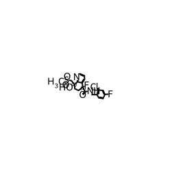 CS(=O)(=O)C[C@]1(O)CC[C@@](F)(C(=O)NCc2ccc(F)cc2Cl)c2cccnc21